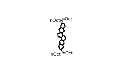 CCCCCCCCN(CCCCCCCC)c1ccc2cc3c(ccc4c5cc6ccc(N(CCCCCCCC)CCCCCCCC)cc6cc5ccc34)cc2c1